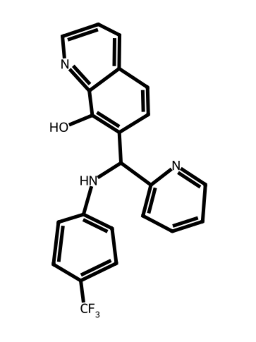 Oc1c(C(Nc2ccc(C(F)(F)F)cc2)c2ccccn2)ccc2cccnc12